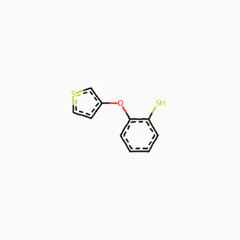 Sc1ccccc1Oc1ccsc1